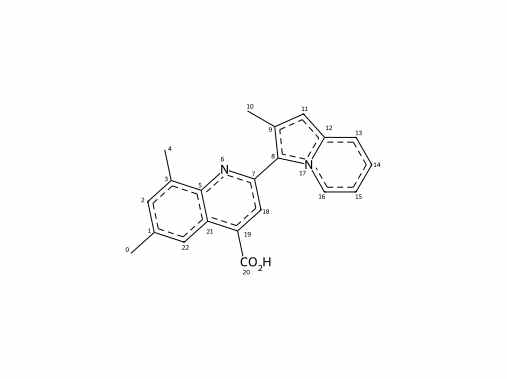 Cc1cc(C)c2nc(-c3c(C)cc4ccccn34)cc(C(=O)O)c2c1